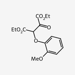 CCOC(=O)C(=O)C(Oc1ccccc1OC)C(=O)OCC